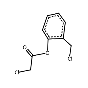 O=C(CCl)Oc1ccccc1CCl